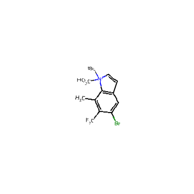 Cc1c(C(F)(F)F)c(Br)cc2c1[N+](C(=O)O)(C(C)(C)C)C=C2